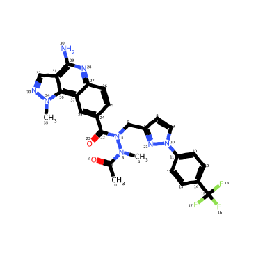 CC(=O)N(C)N(Cc1ccn(-c2ccc(C(F)(F)F)cc2)n1)C(=O)c1ccc2nc(N)c3cnn(C)c3c2c1